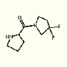 O=C(C1CCCN1)N1CCC(F)(F)C1